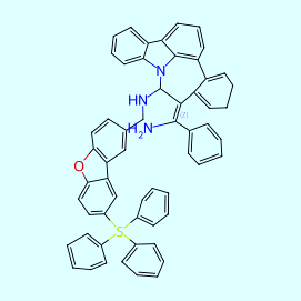 N/C(=C1/C2=CCCC=C2c2cccc3c4ccccc4n(c23)C1NCc1ccc2oc3ccc(S(c4ccccc4)(c4ccccc4)c4ccccc4)cc3c2c1)c1ccccc1